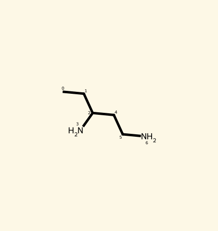 CCC(N)CCN